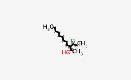 CCCCCCCCCC(C(C)O)C(Cl)CC